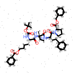 CC[C@](C)(NC(=O)[C@H](CCCCOC(=O)c1ccccc1)NC(=O)OC(C)(C)C)C(=O)N[C@@H](CCc1ccccc1)C(=O)N1CCC[C@@H]1C(=O)OCc1ccccc1